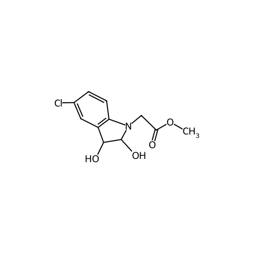 COC(=O)CN1c2ccc(Cl)cc2C(O)C1O